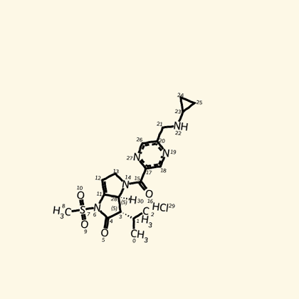 CC(C)[C@@H]1C(=O)N(S(C)(=O)=O)C2=CCN(C(=O)c3cnc(CNC4CC4)cn3)[C@H]21.Cl